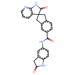 O=C1Cc2cc(NC(=O)c3ccc4c(c3)CC3(C4)C(=O)Nc4ncccc43)ccc2N1